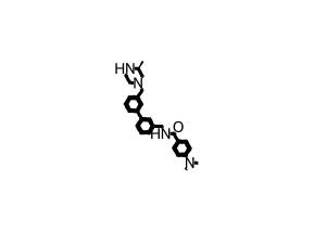 C[C@H]1CN(Cc2cccc(-c3cccc(CNC(=O)c4ccc(N(C)C)cc4)c3)c2)CCN1